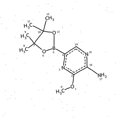 COc1nc(B2OC(C)(C)C(C)(C)O2)cnc1N